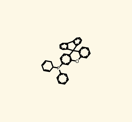 C1=CCC(P(c2ccccc2)c2ccc3c(c2)Oc2ccccc2C32c3ccccc3-c3ccccc32)C=C1